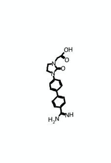 N=C(N)c1ccc(-c2ccc(N3CCN(CC(=O)O)C3=O)cc2)cc1